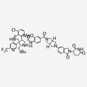 COc1cc(C(=O)N2C[C@@H]3CN(c4ccc5c(c4)CN(C4CCC(=O)NC4=O)C5=O)C[C@H]3C2)ccc1NC(=O)[C@@H]1N[C@@H](CC(C)(C)C)[C@@]2(CNc3cc(C(F)(F)F)ncc32)[C@H]1c1cccc(Cl)c1F